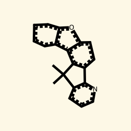 CC1(C)c2cccnc2-c2ccc3oc4ccccc4c3c21